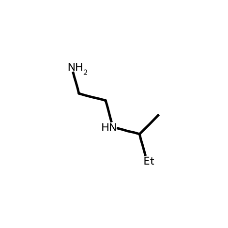 [CH2]CC(C)NCCN